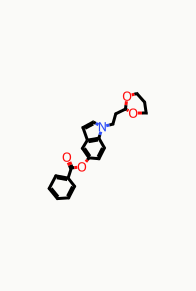 O=C(Oc1ccc2c(ccn2CCC2OCCCO2)c1)c1ccccc1